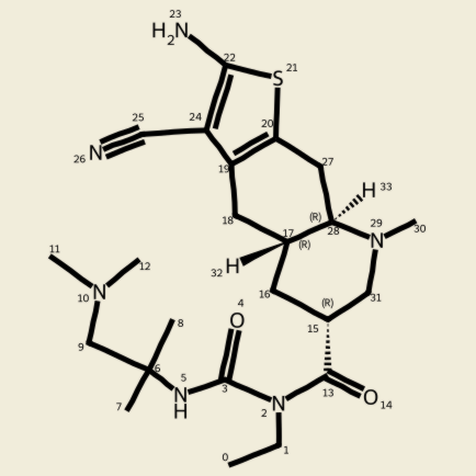 CCN(C(=O)NC(C)(C)CN(C)C)C(=O)[C@@H]1C[C@@H]2Cc3c(sc(N)c3C#N)C[C@H]2N(C)C1